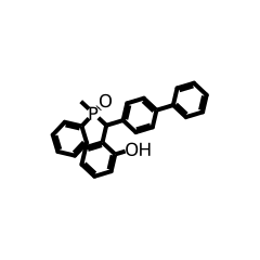 CP(=O)(c1ccccc1)C(c1ccc(-c2ccccc2)cc1)c1ccccc1O